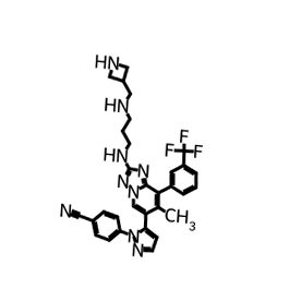 Cc1c(-c2ccnn2-c2ccc(C#N)cc2)cn2nc(NCCCNCC3CNC3)nc2c1-c1cccc(C(F)(F)F)c1